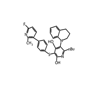 CCCCc1nc(O)c(Sc2ccc(-c3ccc(F)nc3C)cc2)c(O)c1N1CCCc2ccccc21